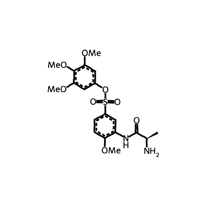 COc1ccc(S(=O)(=O)Oc2cc(OC)c(OC)c(OC)c2)cc1NC(=O)[C@@H](C)N